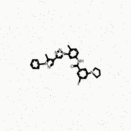 Cc1ccc(NC(=O)c2cc(F)cc(N3CCCC3)c2)cc1-n1cc(-c2cnn(-c3ccccc3)c2C)nn1